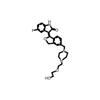 O=C1Nc2ccc(F)cc2C1=C1OCc2cc(CN3CCN(CCOCCO)CC3)ccc21